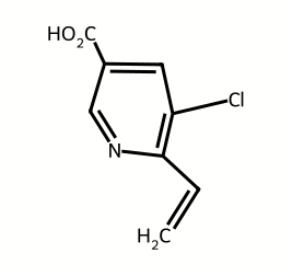 C=Cc1ncc(C(=O)O)cc1Cl